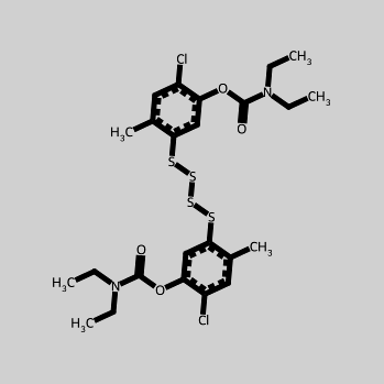 CCN(CC)C(=O)Oc1cc(SSSSc2cc(OC(=O)N(CC)CC)c(Cl)cc2C)c(C)cc1Cl